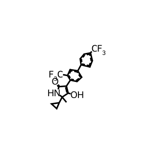 CC1(C2CC2)NC(=O)C(c2ccc(-c3ccc(C(F)(F)F)cc3)cc2C(F)(F)F)=C1O